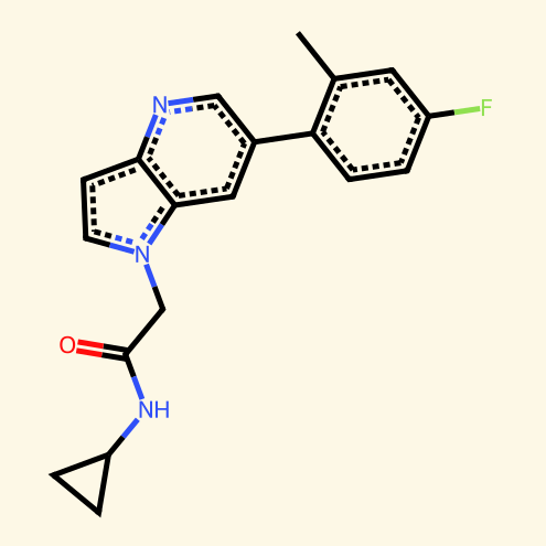 Cc1cc(F)ccc1-c1cnc2ccn(CC(=O)NC3CC3)c2c1